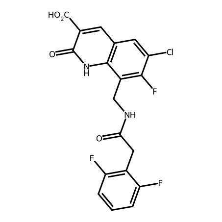 O=C(Cc1c(F)cccc1F)NCc1c(F)c(Cl)cc2cc(C(=O)O)c(=O)[nH]c12